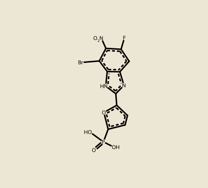 O=[N+]([O-])c1c(F)cc2nc(-c3ccc(P(=O)(O)O)o3)[nH]c2c1Br